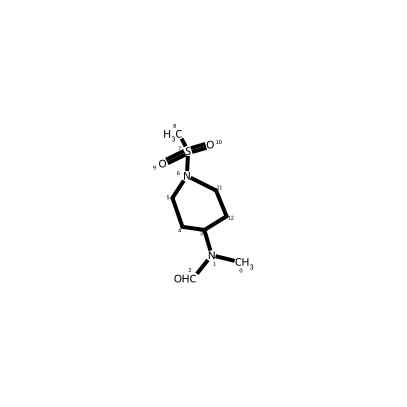 CN(C=O)C1CCN(S(C)(=O)=O)CC1